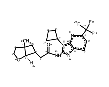 CC12CCO[C@@H]1C(CC(=O)Nc1nc3ccc(C(F)(F)F)nc3n1C1CCC1)C2